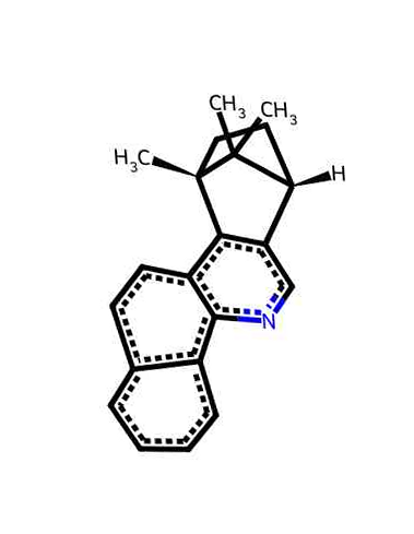 CC1(C)[C@@H]2CC[C@@]1(C)c1c2cnc2c1ccc1ccccc12